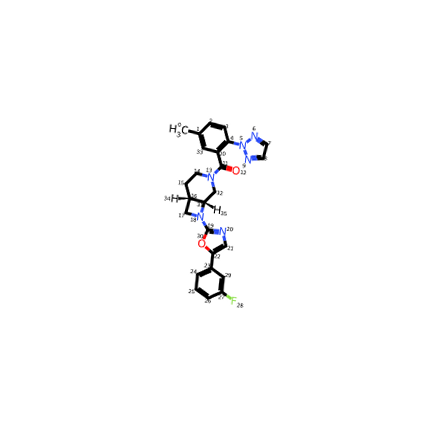 Cc1ccc(-n2nccn2)c(C(=O)N2CC[C@H]3CN(c4ncc(-c5cccc(F)c5)o4)[C@H]3C2)c1